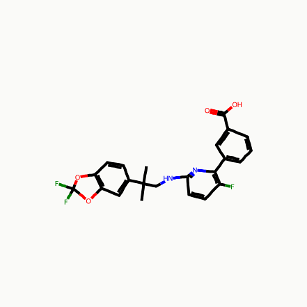 CC(C)(CNc1ccc(F)c(-c2cccc(C(=O)O)c2)n1)c1ccc2c(c1)OC(F)(F)O2